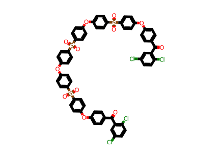 O=C(c1ccc(Oc2ccc(S(=O)(=O)c3ccc(Oc4ccc(S(=O)(=O)c5ccc(Oc6ccc(S(=O)(=O)c7ccc(Oc8ccc(C(=O)c9cc(Cl)ccc9Cl)cc8)cc7)cc6)cc5)cc4)cc3)cc2)cc1)c1cc(Cl)ccc1Cl